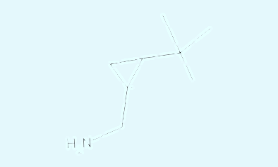 CC(C)(C)C1C[C]1CN